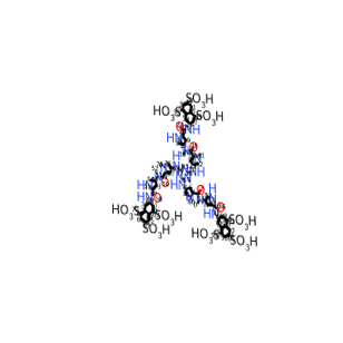 CN(C(=O)c1cc(Nc2nc(Nc3cc(C(=O)N(C)c4c[nH]c(C(=O)Nc5cc(S(=O)(=O)O)c6cc(S(=O)(=O)O)cc(S(=O)(=O)O)c6c5)c4)n(C)c3)nc(Nc3cc(C(=O)N(C)c4c[nH]c(C(=O)Nc5cc(S(=O)(=O)O)c6cc(S(=O)(=O)O)cc(S(=O)(=O)O)c6c5)c4)n(C)c3)n2)cn1C)c1c[nH]c(C(=O)Nc2cc(S(=O)(=O)O)c3cc(S(=O)(=O)O)cc(S(=O)(=O)O)c3c2)c1